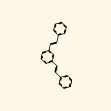 [c]1cc(/C=C/c2ccccc2)cc(/C=C/c2ccccc2)c1